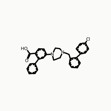 O=C(O)c1ccc(N2CCN(Cc3ccccc3-c3ccc(Cl)cc3)CC2)cc1-c1ccccc1